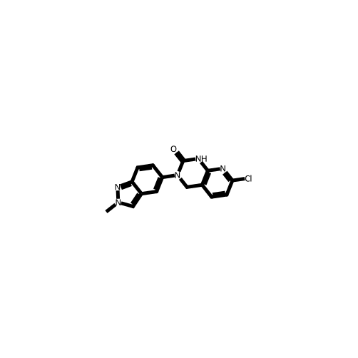 Cn1cc2cc(N3Cc4ccc(Cl)nc4NC3=O)ccc2n1